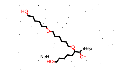 CCCCCCC(O)C(CCCCCO)OCCCCCCOCCCCCCO.[NaH]